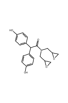 O=C(C(c1ccc(O)cc1)c1ccc(O)cc1)N(CC1CO1)CC1CO1